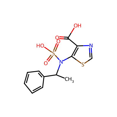 CC(c1ccccc1)N(c1scnc1C(=O)O)S(=O)(=O)O